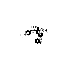 B/C=C(COC)\C(=C/c1cc(Oc2ccccc2F)ccn1)COCC1CCN(C)CC1